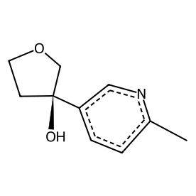 Cc1ccc([C@]2(O)CCOC2)cn1